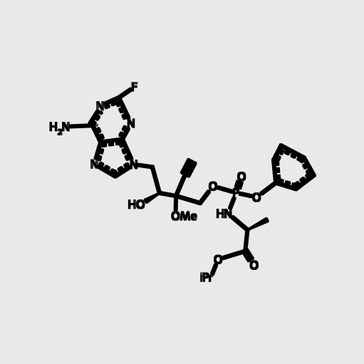 C#CC(COP(=O)(N[C@@H](C)C(=O)OC(C)C)Oc1ccccc1)(OC)[C@@H](O)Cn1cnc2c(N)nc(F)nc21